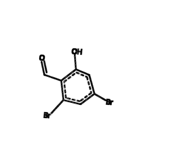 O=Cc1c(O)cc(Br)cc1Br